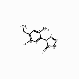 COc1cc(N)c(-n2nn[nH]c2=O)cc1F